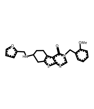 COc1ccccc1Cn1cnc2sc3c(c2c1=O)CCC(NCc1ccco1)C3